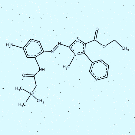 CCOC(=O)c1sc(N=Nc2ccc(N)cc2NC(=O)C[N+](C)(C)C)[n+](C)c1-c1ccccc1